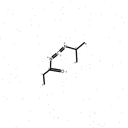 CCC(=O)N=C=NC(C)C